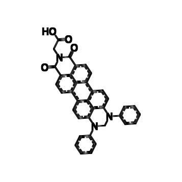 O=C(O)CN1C(=O)c2ccc3c4ccc5c6c(ccc(c7ccc(c2c37)C1=O)c64)N(c1ccccc1)CN5c1ccccc1